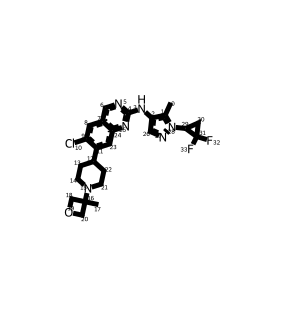 Cc1c(Nc2ncc3cc(Cl)c(C4CCN(C5(C)COC5)CC4)cc3n2)cnn1C1CC1(F)F